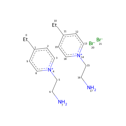 CCc1cc[n+](CCN)cc1.CCc1cc[n+](CCN)cc1.[Br-].[Br-]